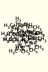 CCN(CC)C(=N[PH](N=C(N(CC)CC)N(CC)CC)(N=P(N(CC)CC)(N(CC)CC)N(CC)CC)N=P(N(CC)CC)(N(CC)CC)N(CC)CC)N(CC)CC